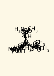 CC(=O)Oc1ccc(C(=O)NCCCOc2cc3sc(S(=O)(=O)NCP(=O)(O)Oc4ccc(C#N)c(F)c4)c(C)c3cc2OCCCNC(=O)c2ccc(OC(C)=O)c(OC(C)=O)c2)cc1OC(C)=O